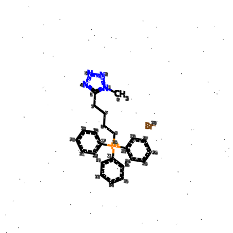 Cn1nnnc1CCCC[P+](c1ccccc1)(c1ccccc1)c1ccccc1.[Br-]